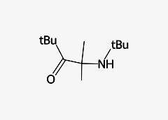 CC(C)(C)NC(C)(C)C(=O)C(C)(C)C